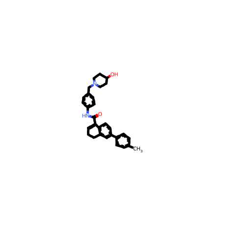 Cc1ccc(-c2ccc3c(c2)CCC=C3C(=O)Nc2ccc(CN3CCC(O)CC3)cc2)cc1